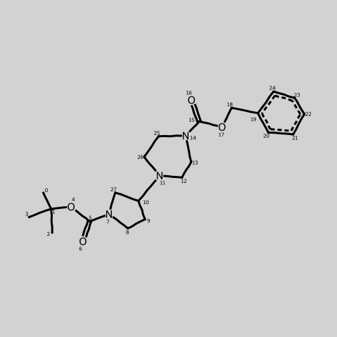 CC(C)(C)OC(=O)N1CCC(N2CCN(C(=O)OCc3ccccc3)CC2)C1